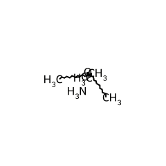 CCCCCCCCCCOC(=O)C(C)(C)CCCCCCCCCC.N